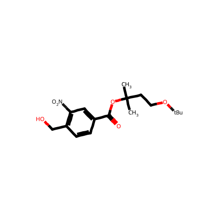 CC(C)(C)OCCC(C)(C)OC(=O)c1ccc(CO)c([N+](=O)[O-])c1